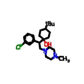 CN1CCN(CC(c2cccc(Cl)c2)C2(O)CCC(C(C)(C)C)CC2)CC1